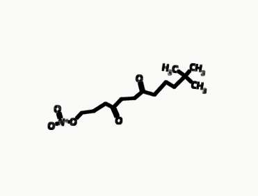 CC(C)(C)CCCC(=O)CCC(=O)CCCO[N+](=O)[O-]